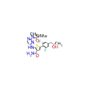 COC(=O)N(C)c1nccc(Nc2sc(-c3c(F)cc(CC(C)O)cc3F)cc2C(N)=O)n1